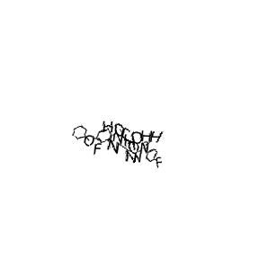 Fc1ccc(Nc2nnc(-c3nc4c(F)c(OC5CCCCC5)ccc4[nH]3)o2)cc1.O=C(O)O